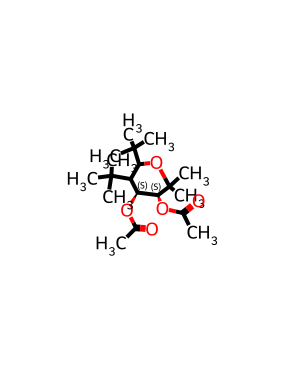 CC(=O)O[C@H]1C(C(C)(C)C)C(C(C)(C)C)OC(C)(C)[C@H]1OC(C)=O